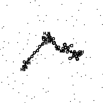 CC(C)C(NC(=O)CCOCCOCCOCCOCCOCCOCCNC(=O)c1cnc(S)nc1)C(=O)N[C@@H](CCCN)C(=O)Nc1ccc(COC(=O)N(C)CCN(C)C(=O)Oc2cc3c(c4ccccc24)[C@H](CCl)CN3C(=O)C23CC(C(=O)N4C[C@@H](CCl)c5c4cc(OP(=O)(O)O)c4ccccc54)(C2)C3)cc1